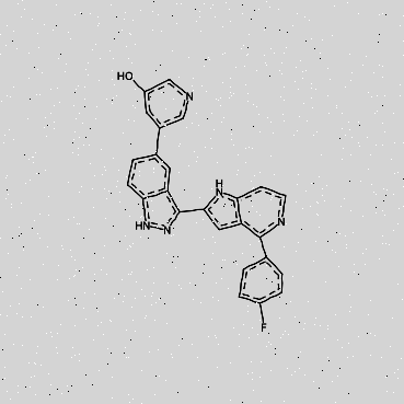 Oc1cncc(-c2ccc3[nH]nc(-c4cc5c(-c6ccc(F)cc6)nccc5[nH]4)c3c2)c1